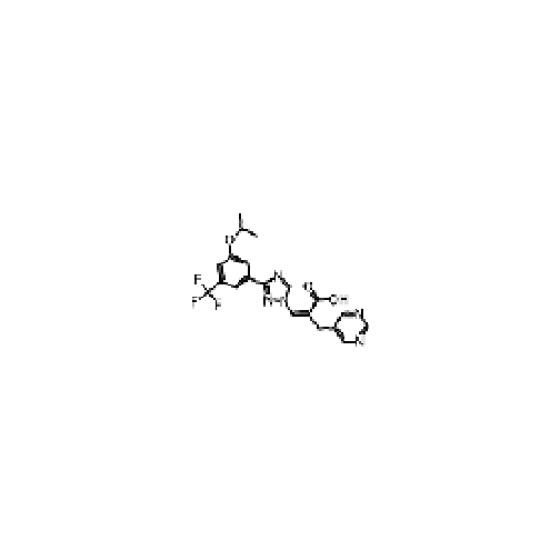 CC(C)Oc1cc(-c2ncn(/C=C(/Cc3cncnc3)C(=O)O)n2)cc(C(F)(F)F)c1